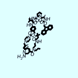 CCCN(CCCNC(=O)CC(C)(C)C)C(=O)C1=Cc2sc(CN3CCN(C(=O)OCc4ccc(NC(=O)[C@@H](NC(=O)[C@@H]5CCCN5C(=O)[C@@H](C)NC(=O)OCC5c6ccccc6-c6ccccc65)C(C)C)cc4)CC3)cc2N=C(N)C1